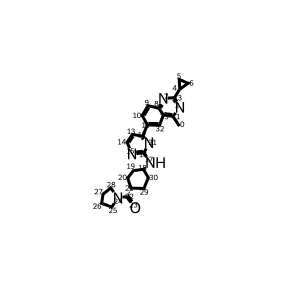 Cc1nc(C2CC2)nc2ccc(-c3ccnc(N[C@H]4CC[C@@H](C(=O)N5CCCC5)CC4)n3)cc12